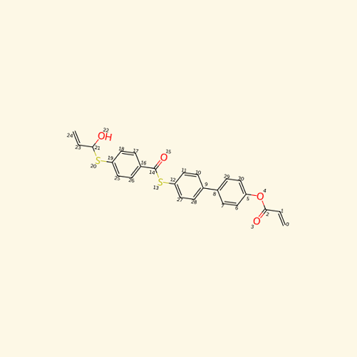 C=CC(=O)Oc1ccc(-c2ccc(SC(=O)c3ccc(SC(O)C=C)cc3)cc2)cc1